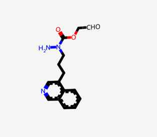 NN(CCCc1cncc2ccccc12)C(=O)OCC=O